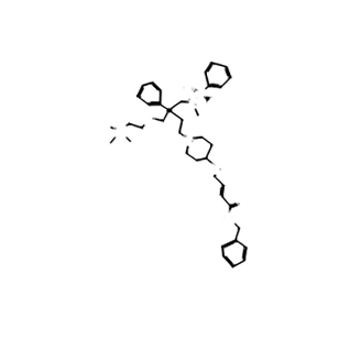 CN(CC(CCN1CCC(NCC=CC(=O)OCc2ccccc2)CC1)(COCC[Si](C)(C)C)c1ccccc1)S(=O)(=O)c1ccccc1